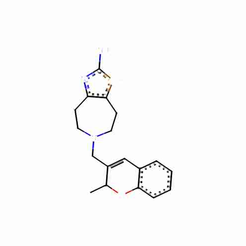 CC1Oc2ccccc2C=C1CN1CCc2nc(N)sc2CC1